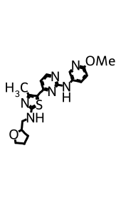 COc1ccc(Nc2nccc(-c3sc(NCC4CCCO4)nc3C)n2)cn1